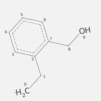 [CH2]Cc1ccccc1CO